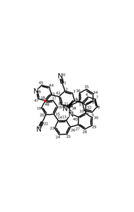 N#Cc1cc(-c2ccccc2)c(-n2c3c(-c4ccccc4C#N)cccc3c3cccc(-c4ccccc4C#N)c32)cc1-c1ccncc1